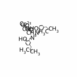 CC(=O)[O-].CC(=O)[O-].CC(C)Cc1ccc(O)c(C=NCCN=Cc2cc(CC(C)C)ccc2O)c1.[Co+2]